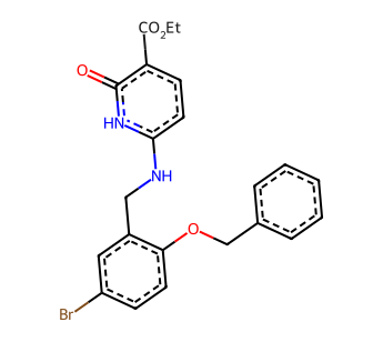 CCOC(=O)c1ccc(NCc2cc(Br)ccc2OCc2ccccc2)[nH]c1=O